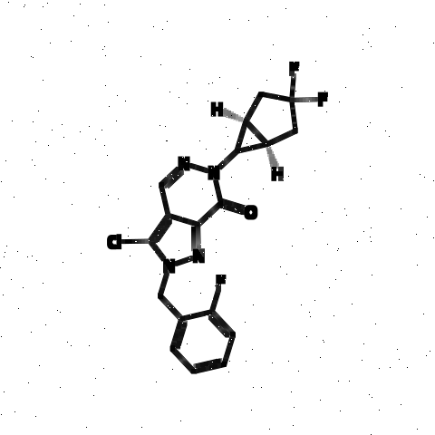 O=c1c2nn(Cc3ccccc3F)c(Cl)c2cnn1C1[C@H]2CC(F)(F)C[C@@H]12